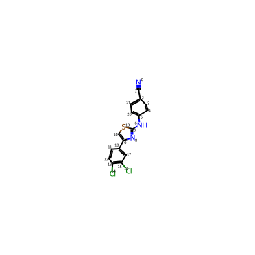 N#Cc1ccc(Nc2nc(-c3ccc(Cl)c(Cl)c3)cs2)cc1